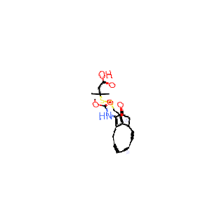 COC(=O)NC1=C2CC#C/C=C\C#CC(CC1=O)/C2=C/CSSC(C)(C)CC(=O)O